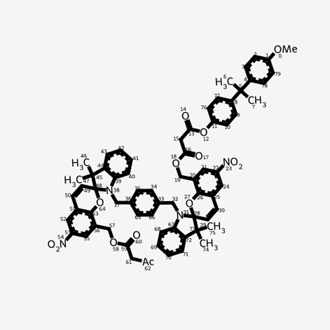 COc1ccc(C(C)(C)c2ccc(OC(=O)CC(=O)OCc3cc([N+](=O)[O-])cc4c3OC3(C=C4)N(Cc4ccc(CN5c6ccccc6C(C)(C)C56C=Cc5cc([N+](=O)[O-])cc(COC(=O)CC(C)=O)c5O6)cc4)c4ccccc4C3(C)C)cc2)cc1